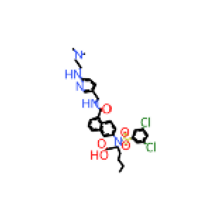 CCCCC(C(=O)O)N(c1ccc2c(C(=O)NCc3ccc(NCCN(C)C)nc3)cccc2c1)S(=O)(=O)c1cc(Cl)cc(Cl)c1